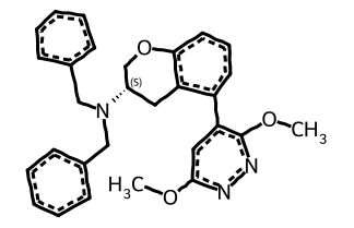 COc1cc(-c2cccc3c2C[C@H](N(Cc2ccccc2)Cc2ccccc2)CO3)c(OC)nn1